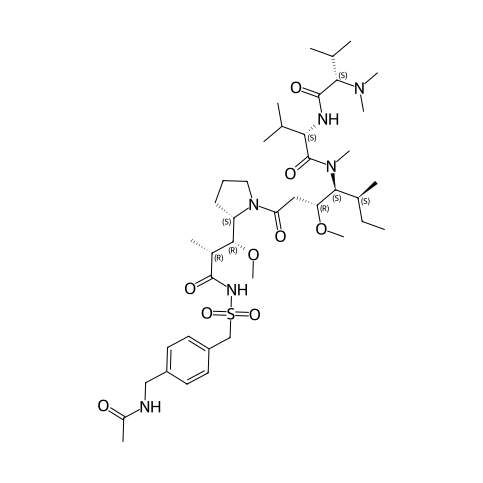 CC[C@H](C)[C@@H]([C@@H](CC(=O)N1CCC[C@H]1[C@H](OC)[C@@H](C)C(=O)NS(=O)(=O)Cc1ccc(CNC(C)=O)cc1)OC)N(C)C(=O)[C@@H](NC(=O)[C@H](C(C)C)N(C)C)C(C)C